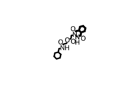 O=C(COC(=O)Cn1[nH]c(=O)c2ccccc2c1=O)NCC1CCCCC1